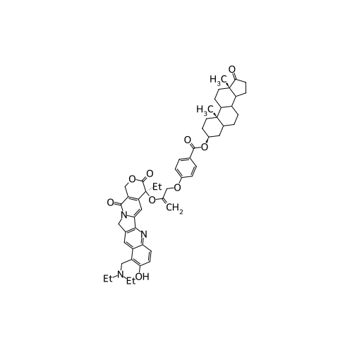 C=C(COc1ccc(C(=O)O[C@H]2CC[C@@]3(C)C(CCC4C3CC[C@]3(C)C(=O)CCC43)C2)cc1)O[C@]1(CC)C(=O)OCc2c1cc1n(c2=O)Cc2cc3c(CN(CC)CC)c(O)ccc3nc2-1